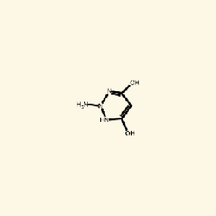 NN1N=C(O)C=C(O)N1